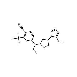 CCc1cncn1C1CCC(N(CC)c2ccc(C#N)c(C(F)(F)F)c2)C1